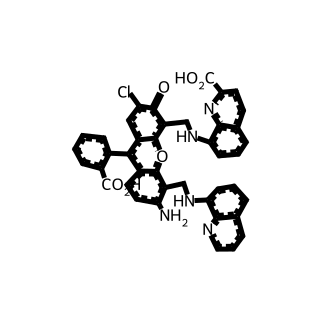 Nc1ccc2c(-c3ccccc3C(=O)O)c3cc(Cl)c(=O)c(CNc4cccc5ccc(C(=O)O)nc45)c-3oc2c1CNc1cccc2cccnc12